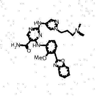 COc1c(Nc2nc(Nc3cnn(CCCN(C)C)c3)ncc2C(N)=O)cccc1-c1nc2ccccc2o1